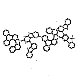 CC1(C)c2ccccc2-c2nc(-n3c4ccc5ccccc5c4c4c5c(ccc43)c3ccccc3c3cc(-c4ccc6sc7nc(-n8c9ccc%10ccccc%10c9c9c%10c%11ccccc%11c%11ccccc%11c%10ccc98)nc(-c8cccc9c8sc8ccccc89)c7c6c4)ccc35)c(-c3cccc4c3sc3ccccc34)nc21